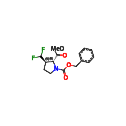 COC(=O)[C@H]1[C@H](C(F)F)CCN1C(=O)OCc1ccccc1